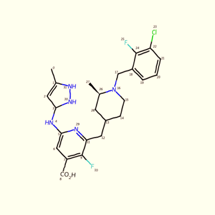 CC1=CC(Nc2cc(C(=O)O)c(F)c(CC3CCN(Cc4cccc(Cl)c4F)[C@H](C)C3)n2)NN1